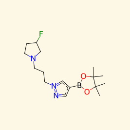 CC1(C)OB(c2cnn(CCCN3CCC(F)C3)c2)OC1(C)C